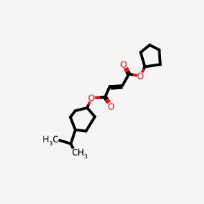 CC(C)C1CCC(OC(=O)/C=C/C(=O)OC2CCCC2)CC1